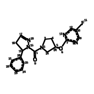 O=C(N1CC[C@@H](Oc2ncc(F)cn2)C1)N1N=CCC1c1ccccc1